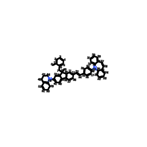 Cc1ccccc1CC1(C)c2cc(/C=C/c3ccc(N4c5ccccc5C=Cc5ccccc54)cc3)ccc2-c2ccc(N3CCCC4=C3CCC=C4)cc21